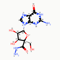 NNC(=O)[C@]1(CO)O[C@@H](n2cnc3c(=O)[nH]c(N)nc32)[C@H](O)[C@@H]1O